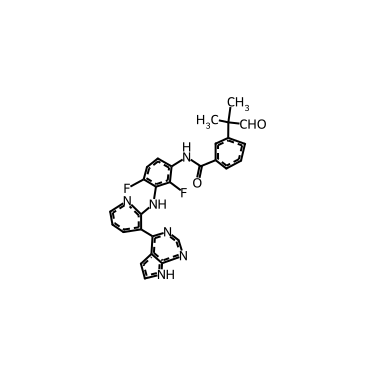 CC(C)(C=O)c1cccc(C(=O)Nc2ccc(F)c(Nc3ncccc3-c3ncnc4[nH]ccc34)c2F)c1